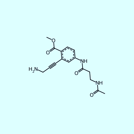 COC(=O)c1ccc(NC(=O)CCNC(C)=O)cc1C#CCN